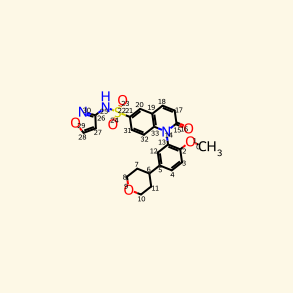 COc1ccc(C2CCOCC2)cc1-n1c(=O)ccc2cc(S(=O)(=O)Nc3ccon3)ccc21